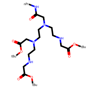 CCCNC(=O)CN(CCNCC(=O)OC(C)(C)C)CCN(CCNCC(=O)OC(C)(C)C)CC(=O)OC(C)(C)C